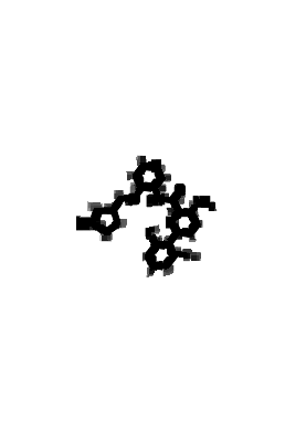 Nc1ccc(-c2c(F)cccc2F)nc1C(=O)Nc1cnccc1OCC1CCNC1